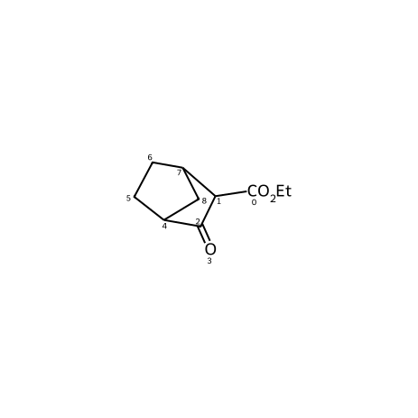 CCOC(=O)C1C(=O)C2CCC1C2